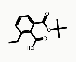 CCc1cccc(C(=O)OC(C)(C)C)c1C(=O)O